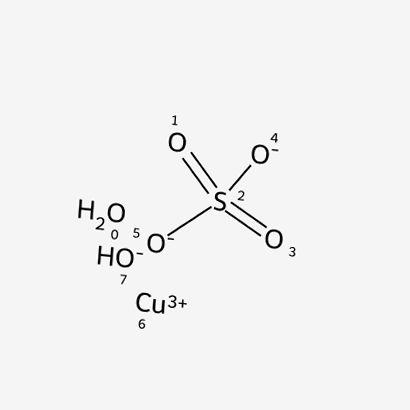 O.O=S(=O)([O-])[O-].[Cu+3].[OH-]